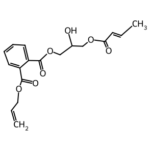 C=CCOC(=O)c1ccccc1C(=O)OCC(O)COC(=O)C=CC